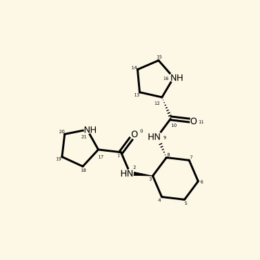 O=C(N[C@@H]1CCCC[C@H]1NC(=O)[C@@H]1CCCN1)C1CCCN1